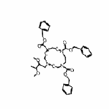 COC(C)C(CN1CCN(C(=O)OCc2ccccc2)CCN(C(=O)OCc2ccccc2)CCN(C(=O)OCc2ccccc2)CC1)OC